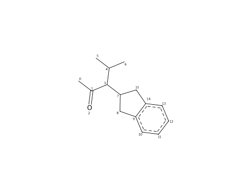 CC(=O)C(C(C)C)C1Cc2ccccc2C1